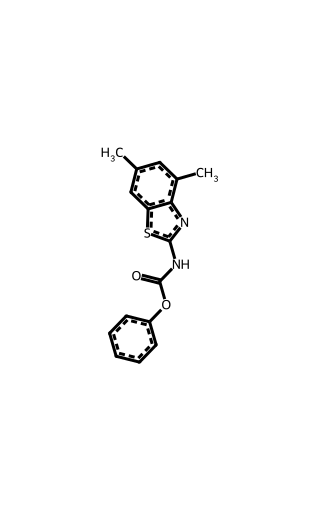 Cc1cc(C)c2nc(NC(=O)Oc3ccccc3)sc2c1